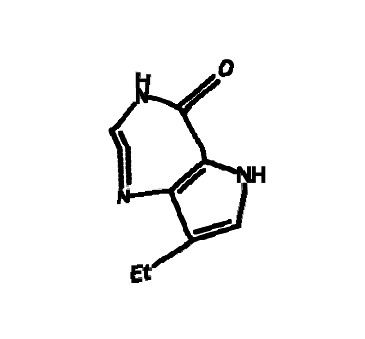 CCc1c[nH]c2c(=O)[nH]cnc12